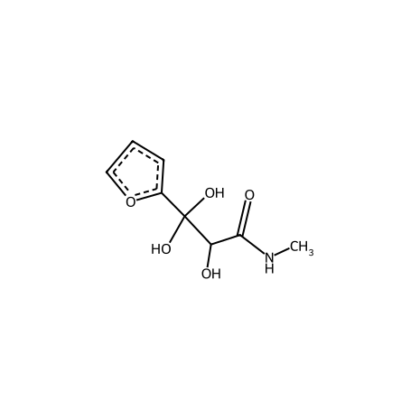 CNC(=O)C(O)C(O)(O)c1ccco1